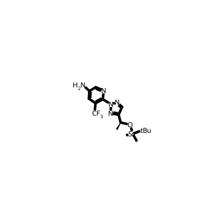 C[C@H](O[Si](C)(C)C(C)(C)C)c1cnn(-c2ncc(N)cc2C(F)(F)F)n1